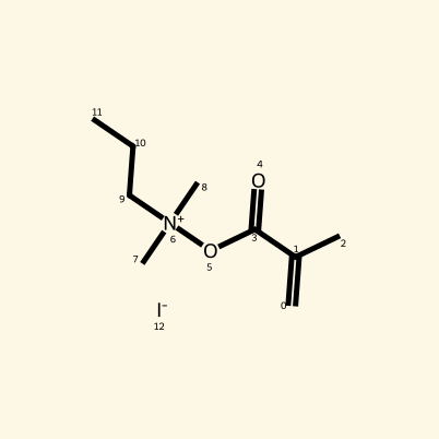 C=C(C)C(=O)O[N+](C)(C)CCC.[I-]